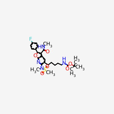 CNC(=O)c1c(-c2ccc(F)cc2)oc2nc(N(C)S(C)(=O)=O)c(CCCCCNC(=O)OC(C)(C)C)cc12